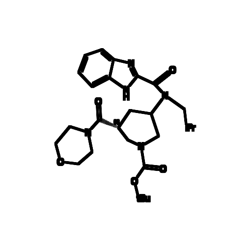 CC(C)CN(C(=O)c1nc2ccccc2[nH]1)C1C[C@@H](C(=O)N2CCOCC2)CN(C(=O)OC(C)(C)C)C1